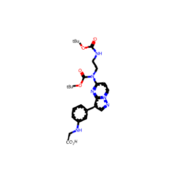 CC(C)(C)OC(=O)NCCN(C(=O)OC(C)(C)C)c1ccn2ncc(-c3cccc(NCC(=O)O)c3)c2n1